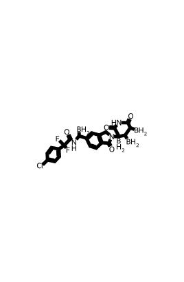 BC(NC(=O)C(F)(F)c1ccc(Cl)cc1)c1ccc2c(c1)CN([C@@]1(B)C(=O)NC(=O)C(B)C1B)C2=O